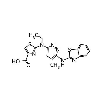 CCN(c1cc(C)c(Nc2nc3ccccc3s2)nn1)c1nc(C(=O)O)cs1